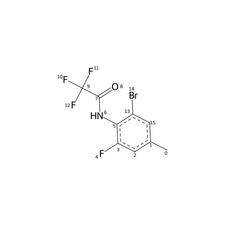 Cc1cc(F)c(NC(=O)C(F)(F)F)c(Br)c1